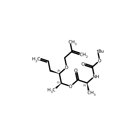 C=CC[C@@H](OCC(=C)C)[C@H](C)OC(=O)[C@H](C)NC(=O)OC(C)(C)C